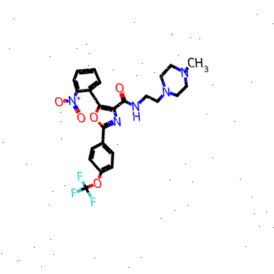 CN1CCN(CCNC(=O)c2nc(-c3ccc(OC(F)(F)F)cc3)oc2-c2ccccc2[N+](=O)[O-])CC1